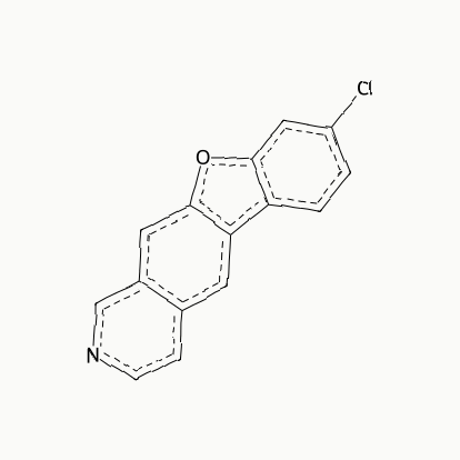 Clc1ccc2c(c1)oc1cc3cnccc3cc12